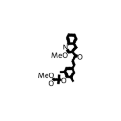 COC(=O)C(C)(C)Oc1c(C)cc(/C=C/C(=O)c2cc3ccccc3nc2OC)cc1C